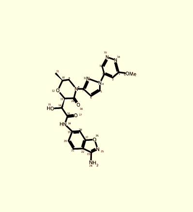 COc1cc(-n2ccc(N3C[C@H](C)O[C@H](C(O)C(=O)Nc4ccc5c(N)noc5c4)C3=O)n2)cnn1